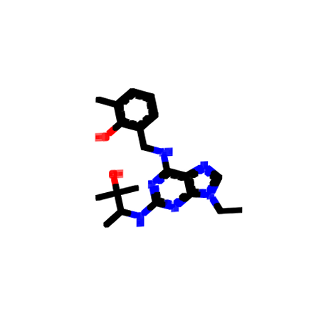 CCn1cnc2c(NCc3cccc(C)c3O)nc(NC(C)C(C)(C)O)nc21